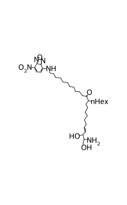 CCCCCCC(CCCCCCC=CC(O)C(N)CO)C(=O)CCCCCCCCCCCNc1ccc([N+](=O)[O-])c2nonc12